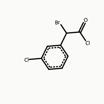 O=C(Cl)C(Br)c1cccc(Cl)c1